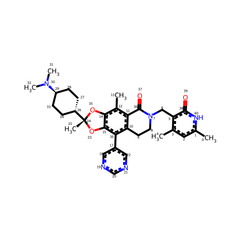 Cc1cc(C)c(CN2CCc3c(c(C)c4c(c3-c3cncnc3)O[C@](C)([C@H]3CC[C@H](N(C)C)CC3)O4)C2=O)c(=O)[nH]1